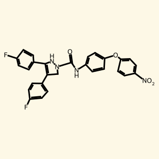 O=C(Nc1ccc(Oc2ccc([N+](=O)[O-])cc2)cc1)N1CC(c2ccc(F)cc2)=C(c2ccc(F)cc2)N1